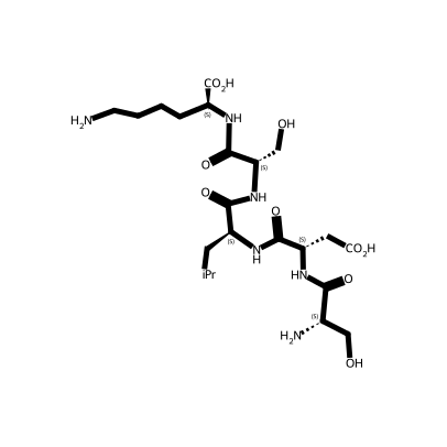 CC(C)C[C@H](NC(=O)[C@H](CC(=O)O)NC(=O)[C@@H](N)CO)C(=O)N[C@@H](CO)C(=O)N[C@@H](CCCCN)C(=O)O